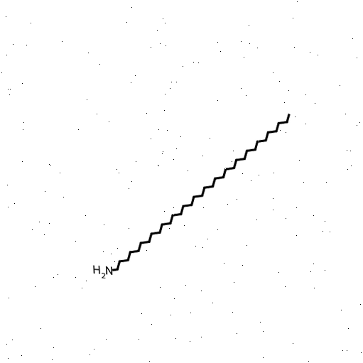 CCCCCCCCCCCCCCCCCCCCCCCCCCCCCCCCCCN